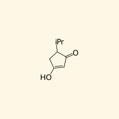 CC(C)C1CC(O)=CC1=O